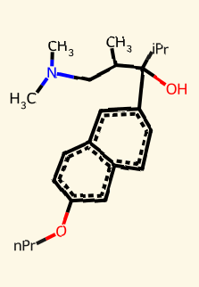 CCCOc1ccc2cc(C(O)(C(C)C)C(C)CN(C)C)ccc2c1